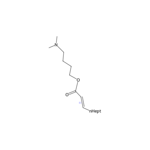 CCCCCCC/C=C/C(=O)OCCCCN(C)C